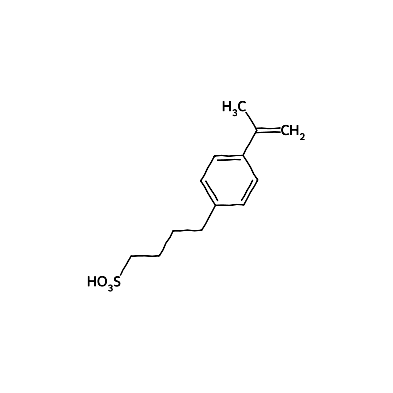 C=C(C)c1ccc(CCCCS(=O)(=O)O)cc1